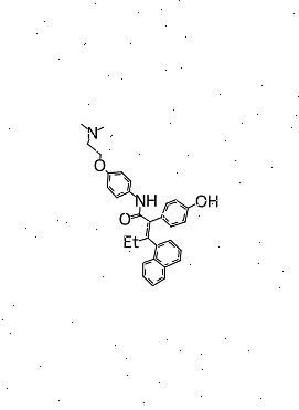 CCC(=C(C(=O)Nc1ccc(OCCN(C)C)cc1)c1ccc(O)cc1)c1cccc2ccccc12